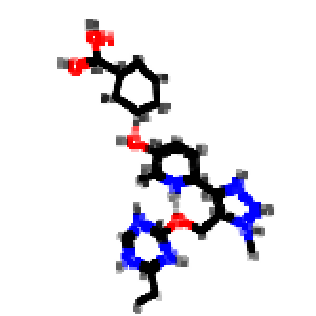 CCc1ncnc(OCc2c(-c3ccc(O[C@H]4CCC[C@H](C(=O)O)C4)c(C)n3)nnn2C)n1